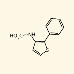 O=C(O)Nc1ccsc1-c1ccccc1